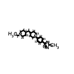 CCN1CCC(CC2CCN(c3ccc(-c4nc(C)no4)cc3)CC2)CC1